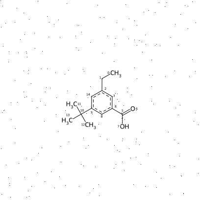 CCc1cc(C(=O)O)cc(C(C)(C)C)c1